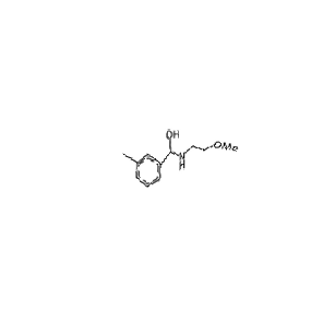 COCCNC(O)c1cccc(C)c1